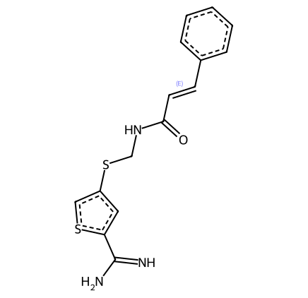 N=C(N)c1cc(SCNC(=O)/C=C/c2ccccc2)cs1